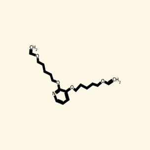 C=COCCCCCOc1cccnc1OCCCCCOC=C